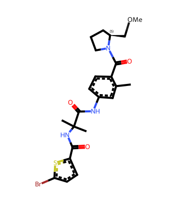 COC[C@@H]1CCCN1C(=O)c1ccc(NC(=O)C(C)(C)NC(=O)c2ccc(Br)s2)cc1C